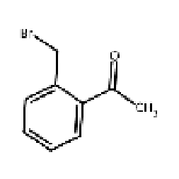 CC(=O)c1ccccc1CBr